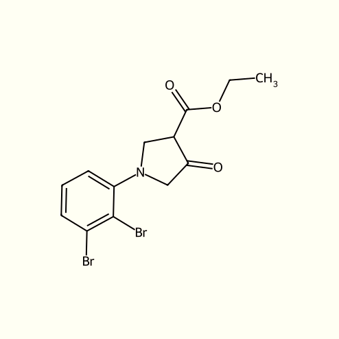 CCOC(=O)C1CN(c2cccc(Br)c2Br)CC1=O